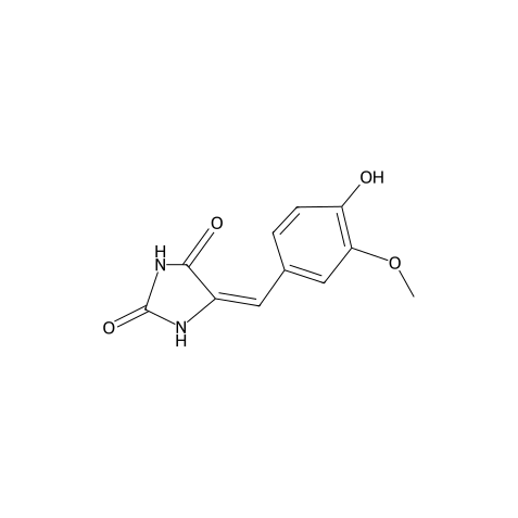 COc1cc(C=C2NC(=O)NC2=O)ccc1O